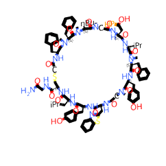 CCCC[C@H]1C(=O)N(C)CC(=O)N[C@@H](CC(O)=P)C(=O)N[C@@H](C(C)C)C(=O)N(C)[C@@H](Cc2ccccc2)C(=O)N[C@@H](Cc2ccc(O)cc2)C(=O)N(C)CC(=O)N[C@@H](Cc2nc3ccccc3s2)C(=O)N[C@@H](Cc2ccc(O)cc2)C(=O)N[C@@H](CC(C)C)C(=O)N[C@H](C(=O)NCC(N)=O)CSCC(=O)N[C@@H](Cc2ccccc2)C(=O)N(C)[C@@H](Cc2ccccc2)C(=O)N1C